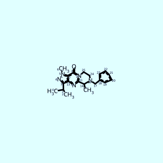 CC(C)c1nn(C)c2c(=O)n3c(nc12)C(C)N(Cc1ccccc1)CC3